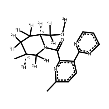 [2H]OC([2H])([2H])[C@@]1([2H])N(C(=O)c2nc(C)ccc2-c2ncccn2)C([2H])([2H])[C@@]([2H])(C)C([2H])([2H])C1([2H])[2H]